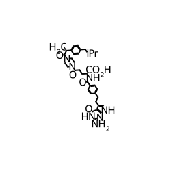 CC(C)Cc1ccc([C@H](C)C(=O)N2CCN(C(=O)CC[C@H](NC(=O)c3ccc(CCc4c[nH]c5nc(N)[nH]c(=O)c45)cc3)C(=O)O)CC2)cc1